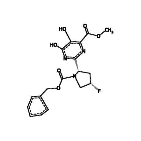 COC(=O)c1nc([C@@H]2C[C@H](F)CN2C(=O)OCc2ccccc2)nc(O)c1O